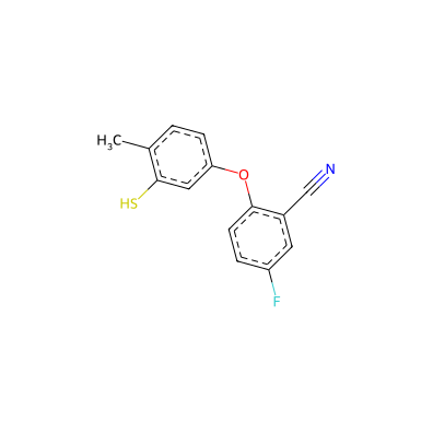 Cc1ccc(Oc2ccc(F)cc2C#N)cc1S